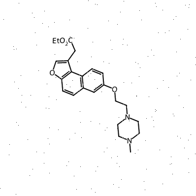 CCOC(=O)Cc1coc2ccc3cc(OCCN4CCN(C)CC4)ccc3c12